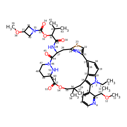 CCn1c(-c2cccnc2[C@H](C)OC)c2c3cc(ccc31)-c1csc(n1)C[C@H](NC(=O)C(OC(=O)N1CC(OC)C1)C(C)C)C(=O)N1CCC[C@H](N1)C(=O)OCC(C)(C)C2